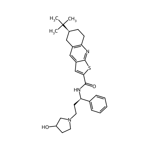 CC(C)(C)[C@H]1CCc2nc3sc(C(=O)N[C@H](CCN4CCC(O)C4)c4ccccc4)cc3cc2C1